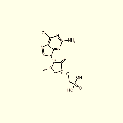 C=C1[C@@H](n2cnc3c(Cl)nc(N)nc32)[C@@H](C)C[C@H]1OCP(=O)(O)O